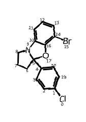 Clc1ccc(C23CCCN2c2cccc(Br)c2O3)cc1